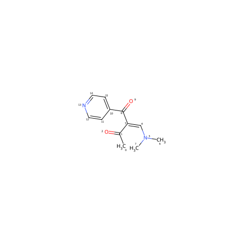 CC(=O)/C(=C\N(C)C)C(=O)c1ccncc1